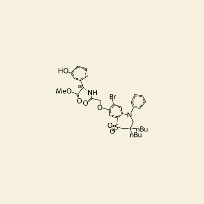 CCCCC1(CCCC)CN(c2ccccc2)c2cc(Br)c(OCC(=O)N[C@H](C(=O)OC)c3cccc(O)c3)cc2S(=O)(=O)C1